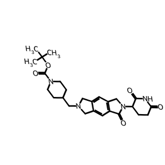 CC(C)(C)OC(=O)N1CCC(CN2Cc3cc4c(cc3C2)C(=O)N(C2CCC(=O)NC2=O)C4)CC1